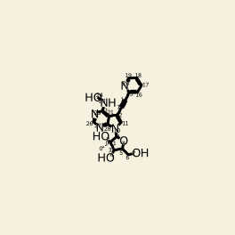 C[C@@]1(O)C(O)C(CO)OC1n1cc(C#Cc2ccccn2)c2c(NO)ncnc21